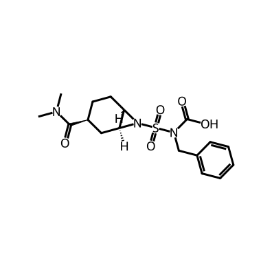 CN(C)C(=O)[C@H]1CC[C@@H]2[C@H](C1)N2S(=O)(=O)N(Cc1ccccc1)C(=O)O